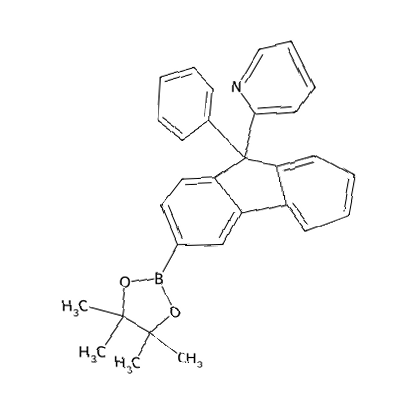 CC1(C)OB(c2ccc3c(c2)-c2ccccc2C3(c2ccccc2)c2ccccn2)OC1(C)C